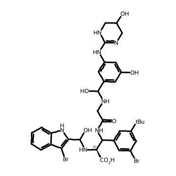 CC(C)(C)c1cc(Br)cc(C(NC(=O)CNC(O)c2cc(O)cc(NC3=NCC(O)CN3)c2)[C@H](NC(O)c2[nH]c3ccccc3c2Br)C(=O)O)c1